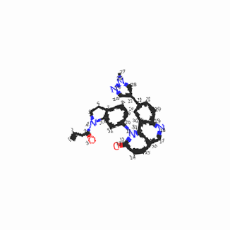 C=CC(=O)N1CCc2ccc(-n3c(=O)c#cc4cnc5ccc(-c6cnn(C)c6)cc5c43)cc21